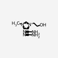 Cn1cc[n+](CCO)c1.N#CN.N#CN